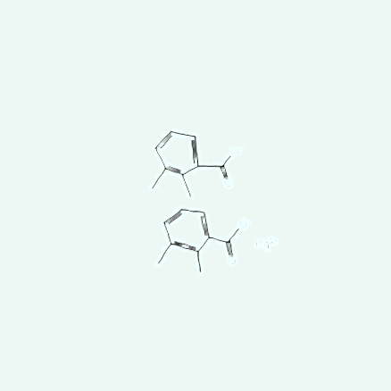 Cc1cccc(C(=O)[O-])c1C.Cc1cccc(C(=O)[O-])c1C.[Hg+2]